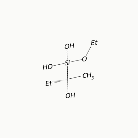 CCO[Si](O)(O)[C@@](C)(O)CC